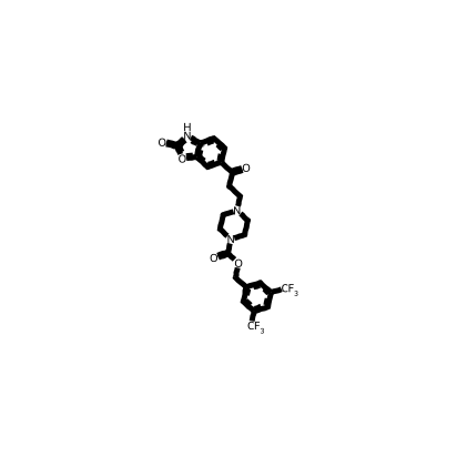 O=C(CCN1CCN(C(=O)OCc2cc(C(F)(F)F)cc(C(F)(F)F)c2)CC1)c1ccc2[nH]c(=O)oc2c1